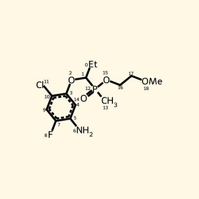 CCC(Oc1cc(N)c(F)cc1Cl)P(C)(=O)OCCOC